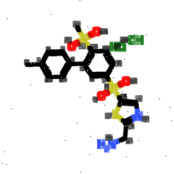 Cc1ccc(-c2cc(S(=O)(=O)c3cnc(CN)s3)ccc2S(C)(=O)=O)cc1.Cl.Cl